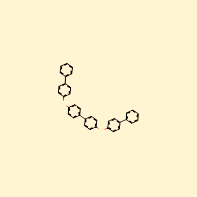 c1ccc(-c2ccc(Oc3ccc(-c4ccc(Oc5ccc(-c6ccccc6)cc5)cc4)cc3)cc2)cc1